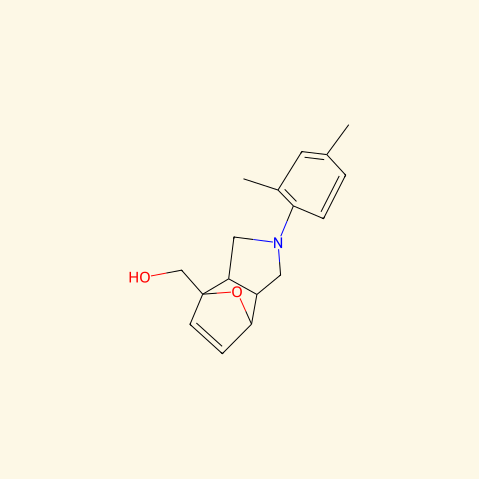 Cc1ccc(N2CC3C4C=CC(CO)(O4)C3C2)c(C)c1